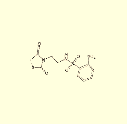 O=C1CSC(=O)N1CCNS(=O)(=O)c1ccccc1[N+](=O)[O-]